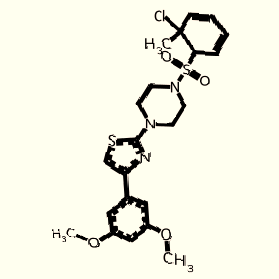 COc1cc(OC)cc(-c2csc(N3CCN(S(=O)(=O)C4C=CC=CC4(C)Cl)CC3)n2)c1